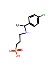 C[C@H](NCCCS(=O)(=O)O)c1ccc(Cl)cc1